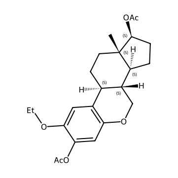 CCOc1cc2c(cc1OC(C)=O)OC[C@@H]1[C@@H]2CC[C@]2(C)[C@@H](OC(C)=O)CC[C@@H]12